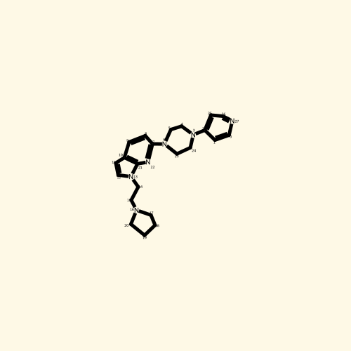 c1cc(N2CCN(c3ccc4ccn(CCN5CCCC5)c4n3)CC2)ccn1